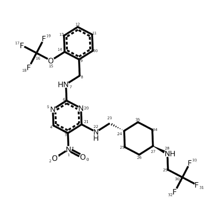 O=[N+]([O-])c1cnc(NCc2ccccc2OC(F)(F)F)nc1NC[C@H]1CC[C@H](NCC(F)(F)F)CC1